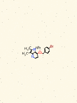 CCCn1c(C)c(C)c2nccc(OCc3ccc(Br)cc3)c21